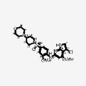 CNc1cc(Nc2ccc(S(=O)(=O)N3CCC(N4CCOCC4)CC3)cc2OC)nc2[nH]cc(Cl)c12